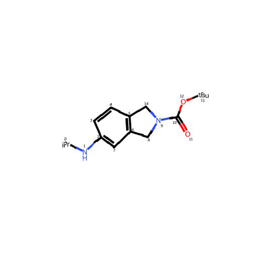 CC(C)Nc1ccc2c(c1)CN(C(=O)OC(C)(C)C)C2